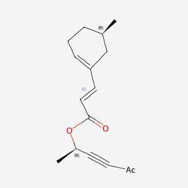 CC(=O)C#C[C@@H](C)OC(=O)/C=C/C1=CCC[C@@H](C)C1